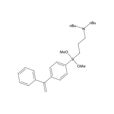 C=C(c1ccccc1)c1ccc([Si](CCCN(CCCC)CCCC)(OC)OC)cc1